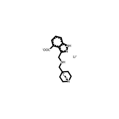 O=C([O-])c1cccc2[nH]nc(CNCC34CCN(CC3)CC4)c12.[Li+]